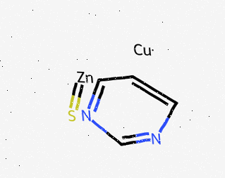 [Cu].[S]=[Zn].c1cncnc1